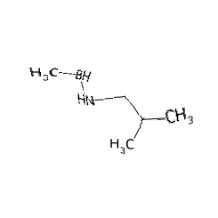 CBNCC(C)C